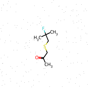 CC(=O)CSCC(C)(C)F